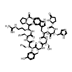 CC(=O)NC(=O)[C@@H]1CCCN1C(=O)[C@H](CCCNC(=N)N)NC(=O)[C@H](CC(C)C)NC(=O)[C@@H](CC(C)C)NC(=O)[C@@H](Cc1ccc(O)cc1)NC(=O)[C@@H](CO)NC(=O)[C@@H](Cc1c[nH]c2ccccc12)NC(=O)[C@@H](Cc1cnc[nH]1)NC(=O)[C@H]1CCC(=O)N1